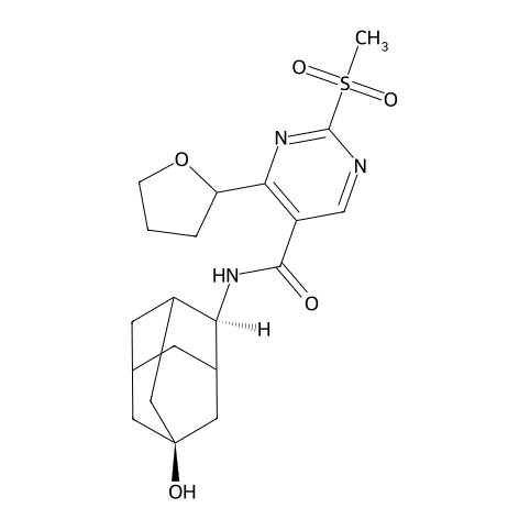 CS(=O)(=O)c1ncc(C(=O)N[C@H]2C3CC4CC2C[C@@](O)(C4)C3)c(C2CCCO2)n1